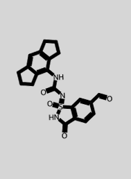 O=Cc1ccc2c(c1)S(=O)(=NC(=O)Nc1c3c(cc4c1CCC4)CCC3)NC2=O